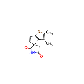 Cc1sc2c(c1C)C1(C=C2)CC(=O)NC1=O